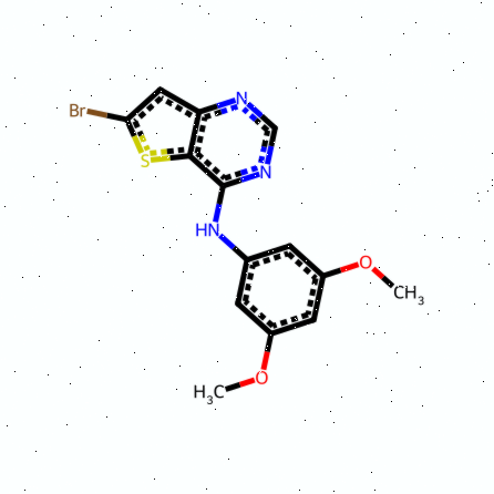 COc1cc(Nc2ncnc3cc(Br)sc23)cc(OC)c1